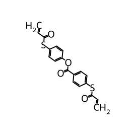 C=CC(=O)Sc1ccc(OC(=O)c2ccc(SC(=O)C=C)cc2)cc1